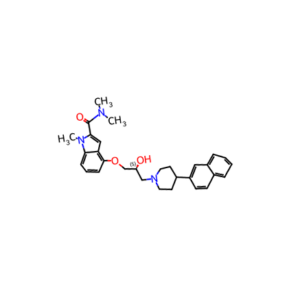 CN(C)C(=O)c1cc2c(OC[C@@H](O)CN3CCC(c4ccc5ccccc5c4)CC3)cccc2n1C